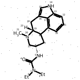 CCN(CC)C(=O)N[C@H]1CC2c3c[c]cc4[nH]cc(c34)C[C@H]2N(C)C1